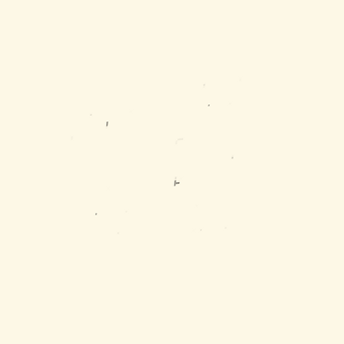 c1ccc(-c2ccc(-c3ccccc3)c3nc(-c4ccc5ccccc5c4)c(-c4ccc5ccccc5c4)nc23)cc1